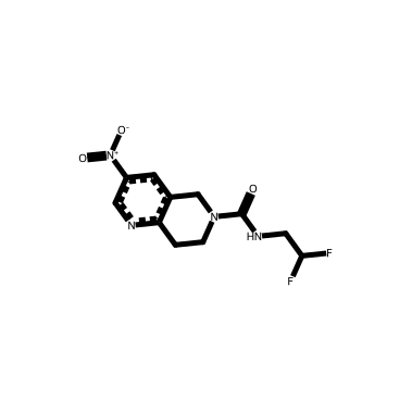 O=C(NCC(F)F)N1CCc2ncc([N+](=O)[O-])cc2C1